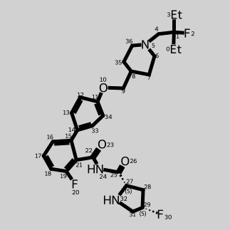 CCC(F)(CC)CN1CCC(COc2ccc(-c3cccc(F)c3C(=O)NC(=O)[C@@H]3C[C@H](F)CN3)cc2)CC1